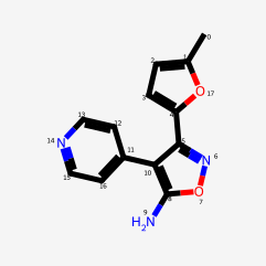 Cc1ccc(-c2noc(N)c2-c2ccncc2)o1